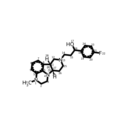 CN1CCN2c3c(cccc31)[C@@H]1CN(CCC(O)c3ccc(F)cc3)CC[C@@H]12